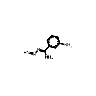 N=N/N=C(\N)c1cccc(N)c1